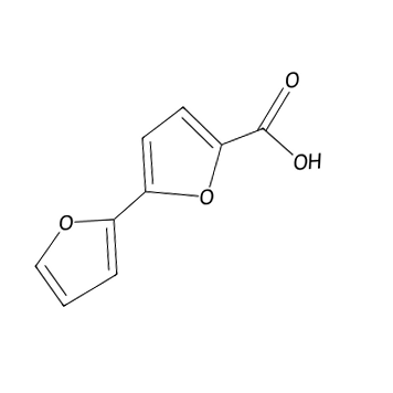 O=C(O)c1ccc(-c2ccco2)o1